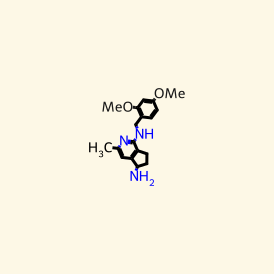 COc1ccc(CNc2nc(C)cc3c2CCC3N)c(OC)c1